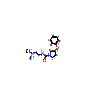 CCN(CC)CCNC(=O)N1CCC(Oc2ccccc2)C1